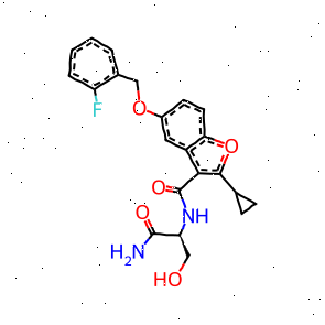 NC(=O)[C@H](CO)NC(=O)c1c(C2CC2)oc2ccc(OCc3ccccc3F)cc12